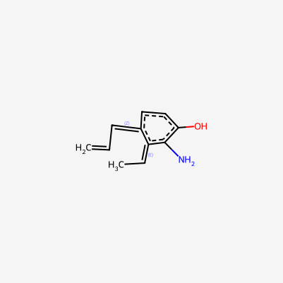 C=C/C=c1/ccc(O)c(N)/c1=C/C